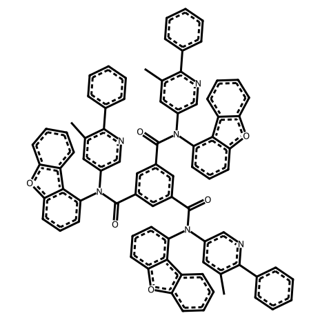 Cc1cc(N(C(=O)c2cc(C(=O)N(c3cnc(-c4ccccc4)c(C)c3)c3cccc4oc5ccccc5c34)cc(C(=O)N(c3cnc(-c4ccccc4)c(C)c3)c3cccc4oc5ccccc5c34)c2)c2cccc3oc4ccccc4c23)cnc1-c1ccccc1